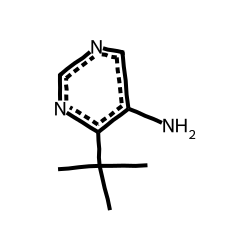 CC(C)(C)c1ncncc1N